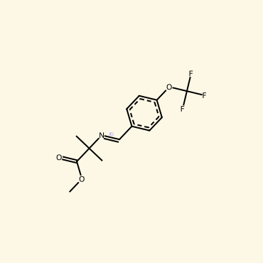 COC(=O)C(C)(C)/N=C/c1ccc(OC(F)(F)F)cc1